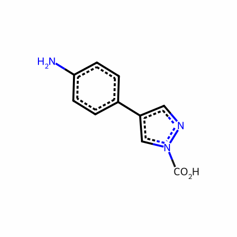 Nc1ccc(-c2cnn(C(=O)O)c2)cc1